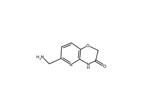 NCc1ccc2c(n1)NC(=O)CO2